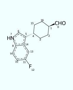 O=C[C@H]1CC[C@H](c2c[nH]c3ccc(F)cc32)CC1